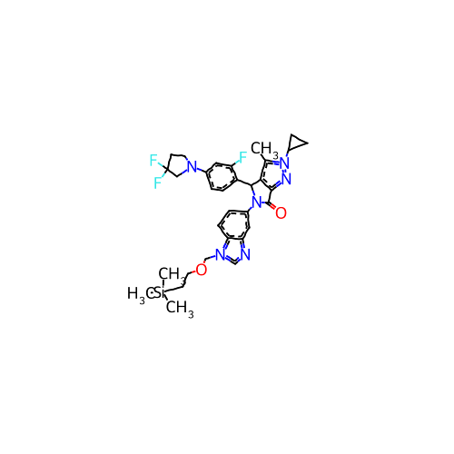 Cc1c2c(nn1C1CC1)C(=O)N(c1ccc3c(c1)ncn3COCC[Si](C)(C)C)C2c1ccc(N2CCC(F)(F)C2)cc1F